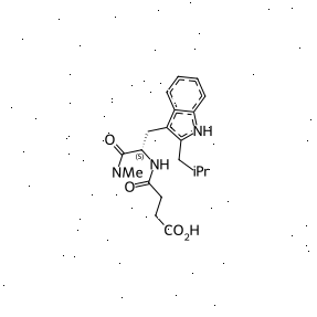 CNC(=O)[C@H](Cc1c(CC(C)C)[nH]c2ccccc12)NC(=O)CCC(=O)O